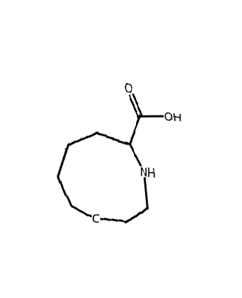 O=C(O)C1CCCCCCCN1